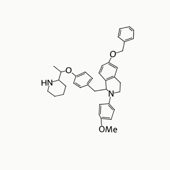 COc1ccc(N2CCc3cc(OCc4ccccc4)ccc3C2Cc2ccc(OC(C)C3CCCCN3)cc2)cc1